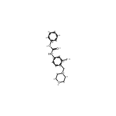 O=C(Nc1ccc(CN2CCOCC2)c(F)c1)Oc1ccccc1